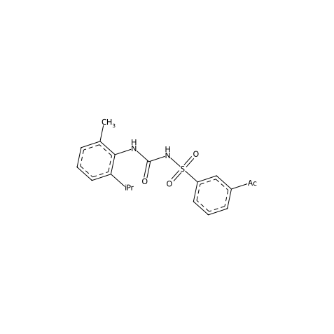 CC(=O)c1cccc(S(=O)(=O)NC(=O)Nc2c(C)cccc2C(C)C)c1